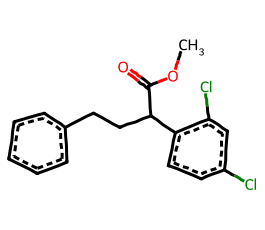 COC(=O)C(CCc1ccccc1)c1ccc(Cl)cc1Cl